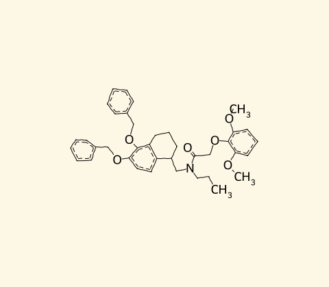 CCCN(CC1CCCc2c1ccc(OCc1ccccc1)c2OCc1ccccc1)C(=O)COc1c(OC)cccc1OC